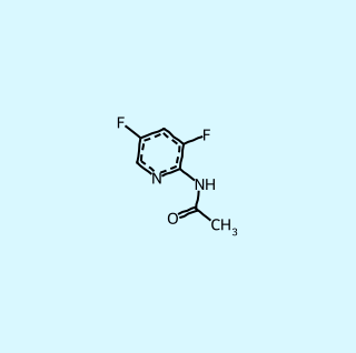 CC(=O)Nc1ncc(F)cc1F